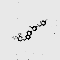 C[C@H]1CN(Cc2ccc3c(c2)CCC(n2ccc(OCc4ccc(Cl)cn4)cc2=O)=C3)CCN1C